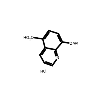 COc1ccc(C(=O)O)c2cccnc12.Cl